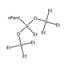 CCCCC[Si](CC)(O[Si](CC)(CC)CC)O[Si](CC)(CC)CC